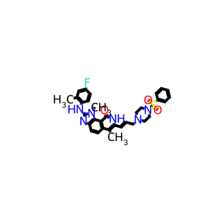 Cc1cc(F)ccc1Nc1nc2ccc3c(C)c(C=CCN4CCN(S(=O)(=O)c5ccccc5)CC4)[nH]c(=O)c3c2n1C